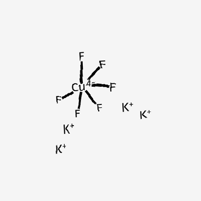 [F][Cu-4]([F])([F])([F])([F])[F].[K+].[K+].[K+].[K+]